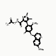 COc1ccc2c(Oc3cc(OC)c(-c4c(C(=O)NOC(=O)C(F)(F)F)nn(C)c4C)cc3F)ccnc2c1